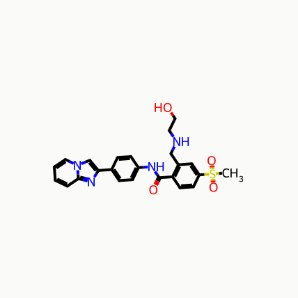 CS(=O)(=O)c1ccc(C(=O)Nc2ccc(-c3cn4ccccc4n3)cc2)c(CNCCO)c1